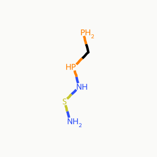 NSNPCP